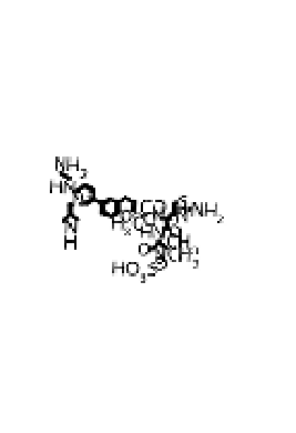 CC(O/N=C(\C(=O)NC1C(=O)N(OS(=O)(=O)O)C1(C)C)c1csc(N)n1)(C(=O)O)[C@H]1CCc2cc(-c3ccc(NCCN)[n+](CC4CNC4)c3)ccc2O1